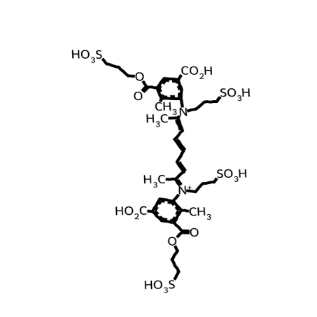 C\C(=C/C=C/C=C/C(C)=[N+](\CCCS(=O)(=O)O)c1cc(C(=O)O)cc(C(=O)OCCCS(=O)(=O)O)c1C)N(CCCS(=O)(=O)O)c1cc(C(=O)O)cc(C(=O)OCCCS(=O)(=O)O)c1C